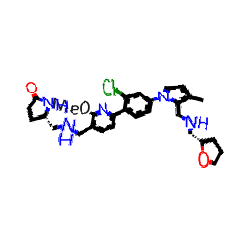 COc1nc(-c2ccc(-n3ccc(C)c3CNC[C@@H]3CCCO3)cc2Cl)ccc1CNC[C@@H]1CCC(=O)N1